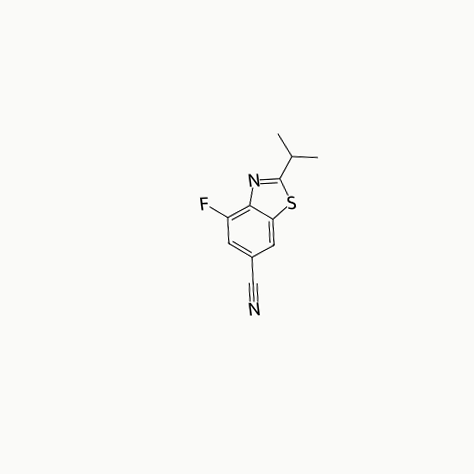 CC(C)c1nc2c(F)cc(C#N)cc2s1